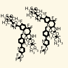 CC(C)(C)OC(=O)NC1CC(F)(F)c2cc(F)c(-c3nnc(C(C)(C)S(C)(=O)=O)o3)cc2N(Cc2ccc(-c3ccc(OC(F)(F)F)cn3)cc2)C1=O.CC(C)(C)OC(=O)N[C@@H]1CC(F)(F)c2cc(F)c(-c3nnc(C(C)(C)S(C)(=O)=O)o3)cc2N(Cc2ccc(-c3ccc(OC(F)(F)F)cn3)cc2)C1=O